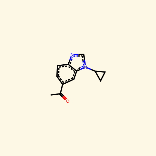 CC(=O)c1ccc2ncn(C3CC3)c2c1